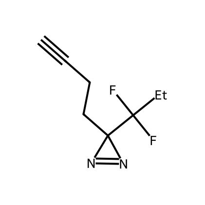 C#CCCC1(C(F)(F)CC)N=N1